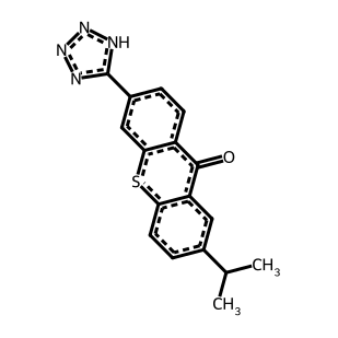 CC(C)c1ccc2sc3cc(-c4nnn[nH]4)ccc3c(=O)c2c1